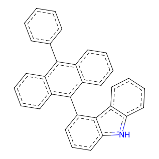 c1ccc(-c2c3ccccc3c(-c3cccc4[nH]c5ccccc5c34)c3ccccc23)cc1